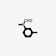 Cc1cccc(N(C)C=O)c1